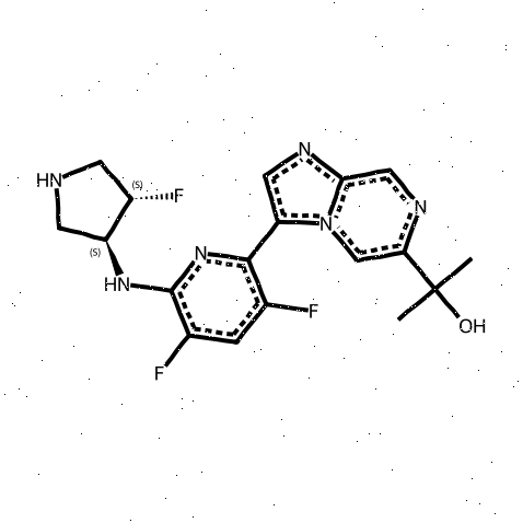 CC(C)(O)c1cn2c(-c3nc(N[C@H]4CNC[C@@H]4F)c(F)cc3F)cnc2cn1